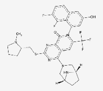 CN1CCC[C@H]1CSc1nc(N2C[C@H]3CC[C@@H](C2)N3)c2cc(C(F)(F)F)n(-c3cc(O)cc4ccc(F)c(F)c34)c(=O)c2n1